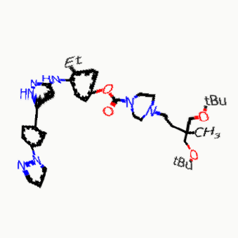 CCc1cc(OC(=O)N2CCN(CCC(C)(COC(C)(C)C)COC(C)(C)C)CC2)ccc1Nc1cc(-c2ccc(-n3cccn3)cc2)[nH]n1